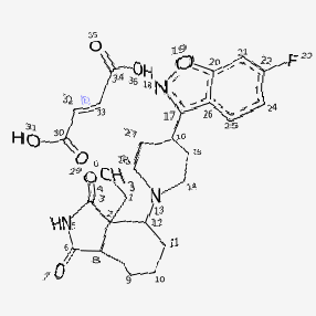 CCC12C(=O)NC(=O)C1CCCC2N1CCC(c2noc3cc(F)ccc23)CC1.O=C(O)/C=C/C(=O)O